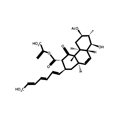 C=C(OC(=O)[C@@H]1C(=O)[C@@]2(C)[C@@H](C=C[C@H]3[C@H](O)[C@@H](C)[C@H](OC(C)=O)C[C@@H]32)C[C@H]1/C=C/C=C/C=C/C(=O)O)C(=O)O